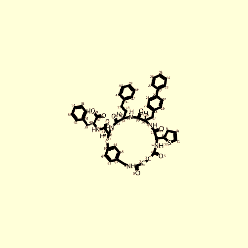 O=C1CCC(=O)NC(C2CC=CS2)C(=O)N[C@@H](Cc2ccc(-c3ccccc3)cc2)C(=O)N[C@H](CCc2ccccc2)C(=O)N[C@H](C(=O)N[C@@H](Cc2ccccc2)C(=O)O)Cc2ccc(cc2)N1